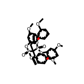 C=CCC(CC=C)(P(=O)(Oc1ccc(OC)cc1)Oc1cccc(OC)c1)P(=O)(Oc1cccc(OC)c1)Oc1cccc(OC)c1